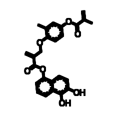 C=C(C)C(=O)Oc1ccc(OCC(=C)C(=O)Oc2cccc3c(O)c(O)ccc23)c(C)c1